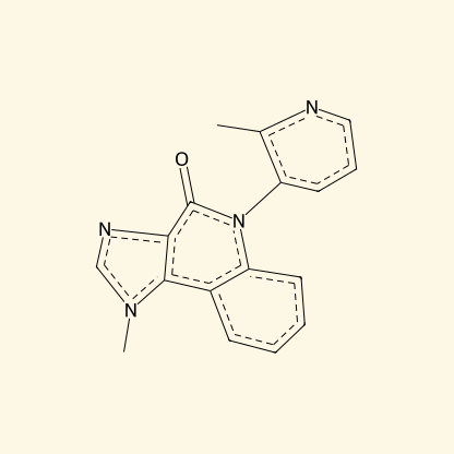 Cc1ncccc1-n1c(=O)c2ncn(C)c2c2ccccc21